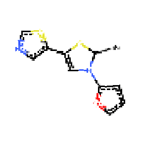 CCCCC1SC(c2cncs2)=[C]N1c1ccco1